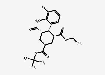 CCOC(=O)[C@H]1CN(C(=O)OC(C)(C)C)C[C@H](C=O)[C@@H]1c1cccc(F)c1C